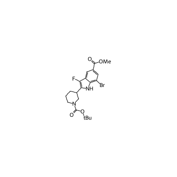 COC(=O)c1cc(Br)c2[nH]c(C3CCCN(C(=O)OC(C)(C)C)C3)c(F)c2c1